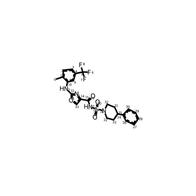 Cc1ccc(C(F)(F)F)cc1Nc1nc(C(=O)NS(=O)(=O)N2CCC(c3ccccc3)CC2)co1